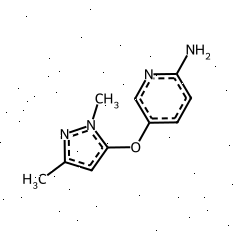 Cc1cc(Oc2ccc(N)nc2)n(C)n1